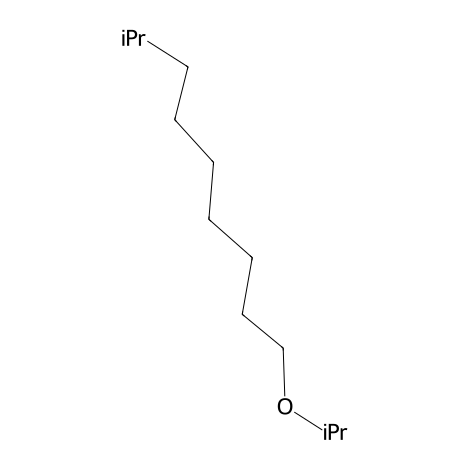 CC(C)CCCCCCCOC(C)C